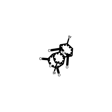 O=c1oc(=O)c2c(Br)cc1c1c3c(Br)cc(c(=O)oc3=O)c21